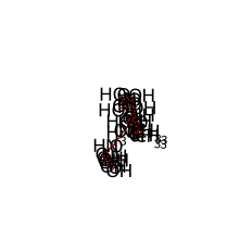 CC(C)[Si](F)(c1ccc(C(=O)NCC(NC(=O)CCC(C(=O)O)N2CCN(CC(=O)O)CCN(CC(=O)O)CCN(CC(=O)O)CC2)C(=O)NC(CCCCNC(=O)CCCCCCC(=O)NCCCC[C@H](NC(=O)N[C@@H](CCC(=O)O)C(=O)O)C(=O)O)C(=O)O)cc1)C(C)(C)C